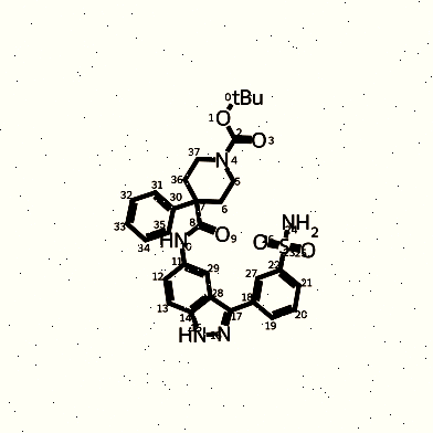 CC(C)(C)OC(=O)N1CCC(C(=O)Nc2ccc3[nH]nc(-c4cccc(S(N)(=O)=O)c4)c3c2)(c2ccccc2)CC1